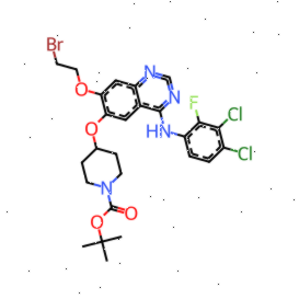 CC(C)(C)OC(=O)N1CCC(Oc2cc3c(Nc4ccc(Cl)c(Cl)c4F)ncnc3cc2OCCBr)CC1